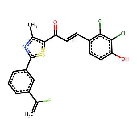 C=C(F)c1cccc(-c2nc(C)c(C(=O)/C=C/c3ccc(O)c(Cl)c3Cl)s2)c1